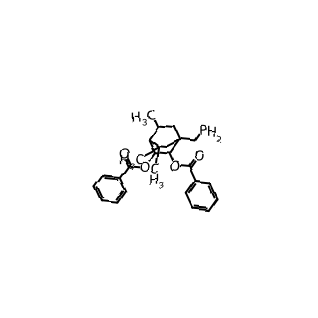 CC1CC2(CP)CC(C)(C)C1C(OC(=O)c1ccccc1)C2OC(=O)c1ccccc1